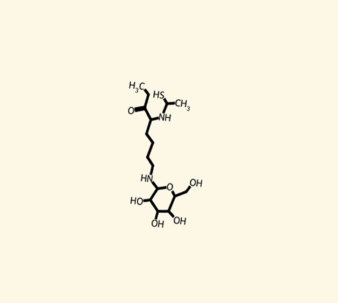 CCC(=O)C(CCCCNC1OC(CO)C(O)C(O)C1O)NC(C)S